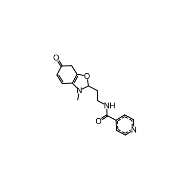 CN1C2=C(CC(=O)C=C2)OC1CCNC(=O)c1ccncc1